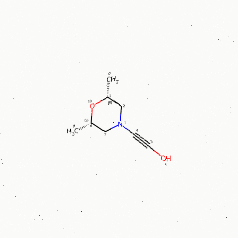 C[C@@H]1CN(C#CO)C[C@H](C)O1